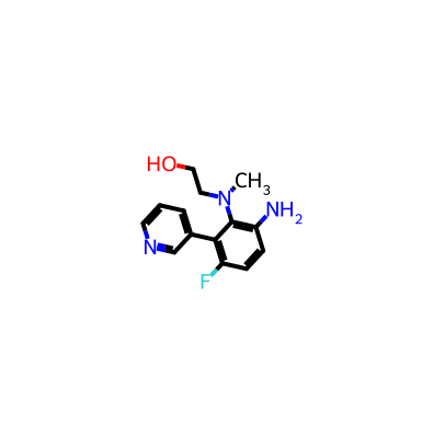 CN(CCO)c1c(N)ccc(F)c1-c1cccnc1